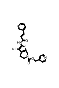 N#Cc1c(NC(=O)C=Cc2cccnc2)sc2c1CCN(C(=O)OCc1ccncc1)C2